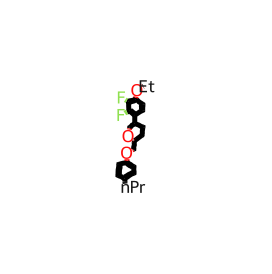 CCCc1ccc(OCC2CCC(c3ccc(OCC)c(F)c3F)CO2)cc1